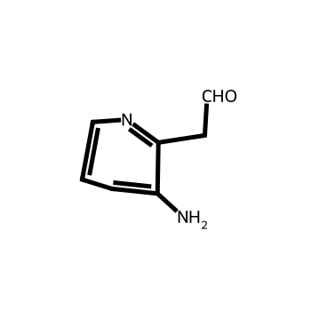 Nc1cccnc1CC=O